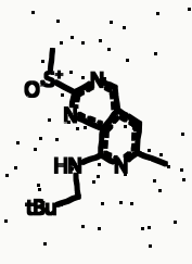 Cc1cc2cnc([S+](C)[O-])nc2c(NCC(C)(C)C)n1